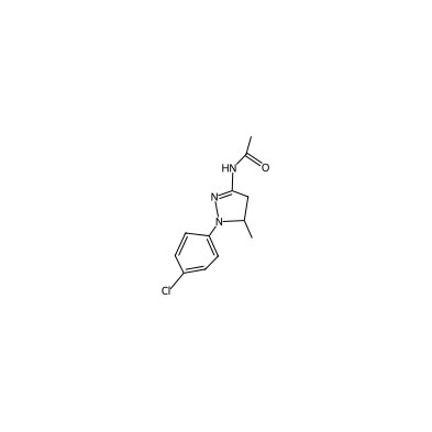 CC(=O)NC1=NN(c2ccc(Cl)cc2)C(C)C1